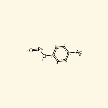 CC(=O)c1ccc(OP=O)cc1